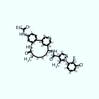 CCC(=O)Nc1ccc2c(c1)NC(=O)[C@H](C)CCCC(NC(=O)c1cnn(-c3cccc(Cl)c3F)c1C)c1cncc-2c1